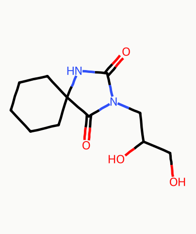 O=C1NC2(CCCCC2)C(=O)N1CC(O)CO